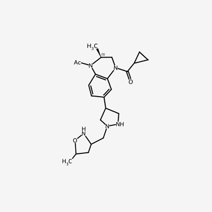 CC(=O)N1c2ccc(C3CNN(CC4CC(C)ON4)C3)cc2N(C(=O)C2CC2)C[C@@H]1C